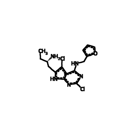 CC[C@H](N)Cc1[nH]c2nc(Cl)nc(NCc3ccco3)c2c1Cl